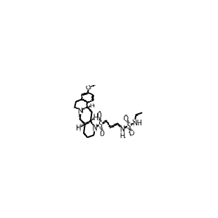 CCNS(=O)(=O)NCCCS(=O)(=O)N1CCC[C@@H]2CN3CCc4cc(OC)ccc4[C@@H]3C[C@@H]21